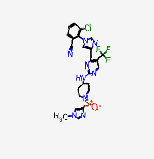 Cn1cnc([S+]([O-])N2CCC(Nc3ncc(C(F)(F)F)c(-c4cn(-c5c(Cl)cccc5C#N)cn4)n3)CC2)c1